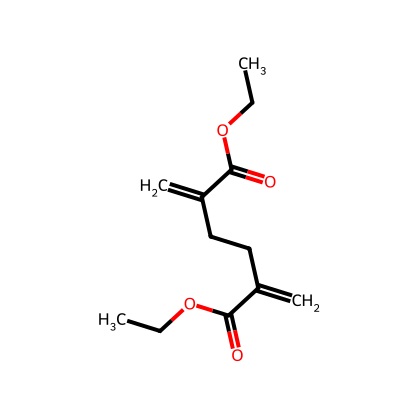 C=C(CCC(=C)C(=O)OCC)C(=O)OCC